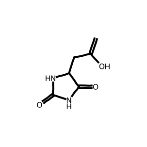 C=C(O)CC1NC(=O)NC1=O